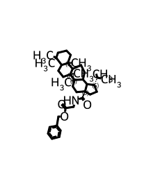 CC(C)[C@@H]1CC[C@]2(C(=O)NCC(=O)OCc3ccccc3)CC[C@]3(C)C(CCC4[C@@]5(C)CCCC(C)(C)C5CC[C@]43C)C12